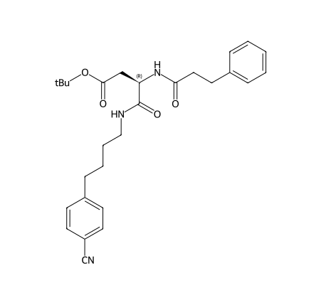 CC(C)(C)OC(=O)C[C@@H](NC(=O)CCc1ccccc1)C(=O)NCCCCc1ccc(C#N)cc1